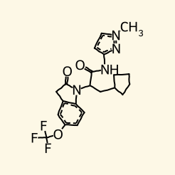 Cn1ccc(NC(=O)C(CC2CCCC2)N2C(=O)Cc3cc(OC(F)(F)F)ccc32)n1